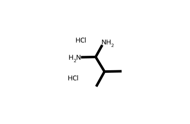 CC(C)C(N)N.Cl.Cl